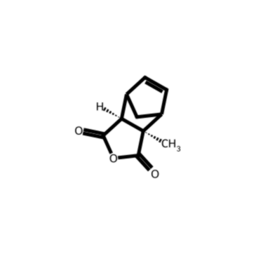 C[C@]12C(=O)OC(=O)[C@H]1C1C=CC2C1